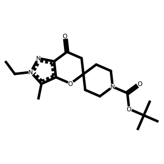 CCn1nc2c(c1C)OC1(CCN(C(=O)OC(C)(C)C)CC1)CC2=O